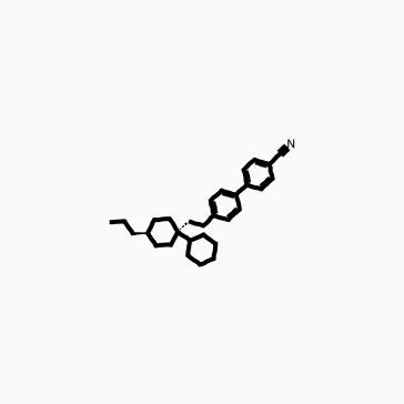 CCC[C@H]1CC[C@@](CCc2ccc(-c3ccc(C#N)cc3)cc2)(C2CCCCC2)CC1